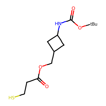 CC(C)(C)OC(=O)NC1CC(COC(=O)CCS)C1